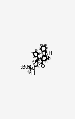 CC(C)(C)OC(=O)NCCn1c(=O)c2cc(F)c(NC3CCCCC3)cc2n(C2CCCC2)c1=O